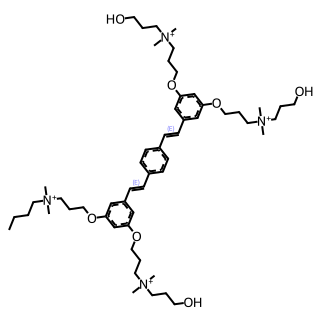 CCCC[N+](C)(C)CCCOc1cc(/C=C/c2ccc(/C=C/c3cc(OCCC[N+](C)(C)CCCO)cc(OCCC[N+](C)(C)CCCO)c3)cc2)cc(OCCC[N+](C)(C)CCCO)c1